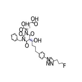 O=C(O)CC[C@@H](C(=O)O)N1C(=O)/C(=C(\O)CCCc2ccc(-n3cc(CCCF)nn3)cc2)C(=O)N(Cc2ccccc2)C1=O